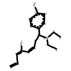 C=C/C=C(F)\C=C/CC(c1ccc(F)cc1)N(CC)CC